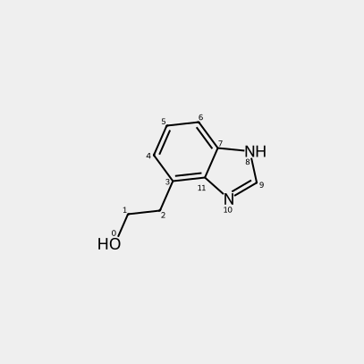 OCCc1cccc2[nH]cnc12